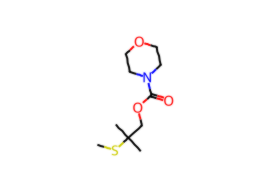 CSC(C)(C)COC(=O)N1CCOCC1